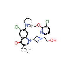 O=C(O)c1cn(C2CN(CCO)C2)c2cc(N3CCC[C@@H]3COc3ncccc3Cl)c(Cl)cc2c1=O